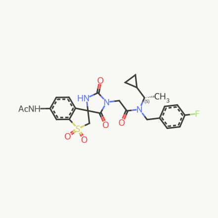 CC(=O)Nc1ccc2c(c1)S(=O)(=O)CC21NC(=O)N(CC(=O)N(Cc2ccc(F)cc2)[C@@H](C)C2CC2)C1=O